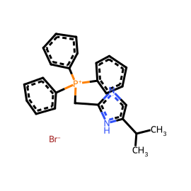 CC(C)c1cnc(C[P+](c2ccccc2)(c2ccccc2)c2ccccc2)[nH]1.[Br-]